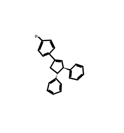 Brc1ccc(C2=C[C@@H](c3ccccc3)[C@H](c3ccccc3)C2)cc1